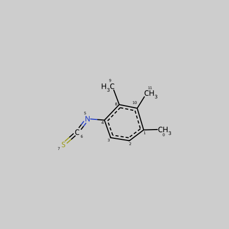 Cc1ccc(N=C=S)c(C)c1C